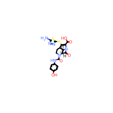 Nc1nnc(SC2=C(C(=O)O)N3C(=O)[C@@H]4[C@H]3C2CCN4C(=O)Nc2ccc(O)cc2)s1